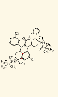 CC1(N[S+]([O-])C(C)(C)C)CCC(C(c2cccc(Cl)c2)N(C(=O)OCc2ccccc2)C(c2cccc(Cl)c2)C2CCC(C)(N[S+]([O-])C(C)(C)C)CC2)CC1